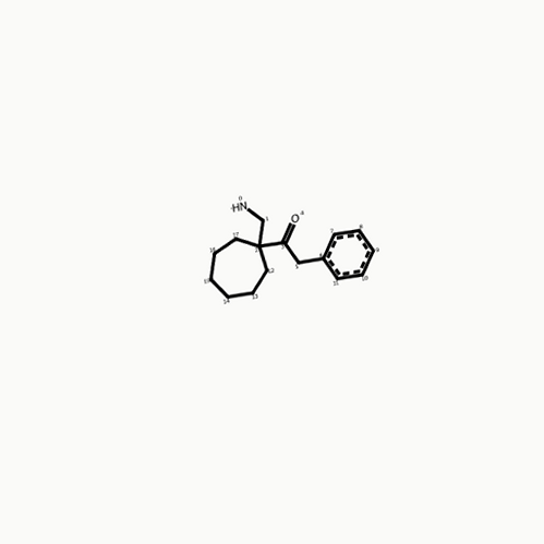 [NH]CC1(C(=O)Cc2ccccc2)CCCCCC1